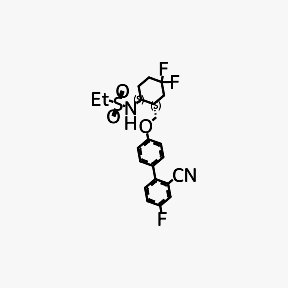 CCS(=O)(=O)N[C@H]1CCC(F)(F)C[C@@H]1COc1ccc(-c2ccc(F)cc2C#N)cc1